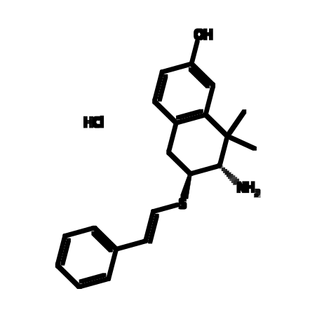 CC1(C)c2cc(O)ccc2C[C@H](S/C=C/c2ccccc2)[C@H]1N.Cl